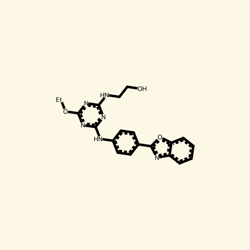 CCOc1nc(NCCO)nc(Nc2ccc(-c3nc4ccccc4o3)cc2)n1